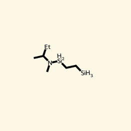 CCC(C)N(C)[SiH2]CC[SiH3]